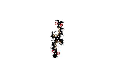 C=CC1=C(C=C)C(=O)C(=Cc2cc(C)c(-c3cc(C)c(-c4cc5c(-c6ccc(CC(C)C)s6)c6sc(-c7sc(-c8sc(C=C9C(=O)c%10ccccc%10C9=O)cc8C)cc7C)cc6c(-c6ccc(CC(C)C)s6)c5s4)s3)s2)C1=O